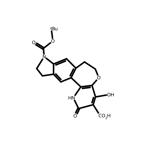 CC(C)(C)OC(=O)N1CCc2cc3c(cc21)CCOc1c-3[nH]c(=O)c(C(=O)O)c1O